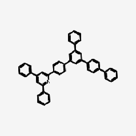 c1ccc(-c2ccc(-c3cc(-c4ccccc4)cc(-c4ccc(-c5cc(-c6ccccc6)cc(-c6ccccc6)n5)cc4)c3)cc2)cc1